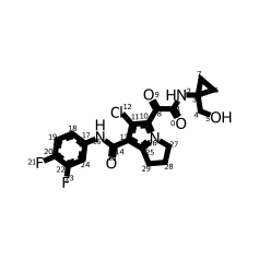 O=C(NC1(CO)CC1)C(=O)c1c(Cl)c(C(=O)Nc2ccc(F)c(F)c2)c2n1CCC2